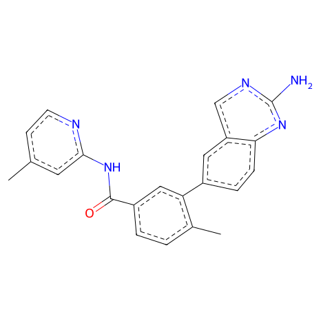 Cc1ccnc(NC(=O)c2ccc(C)c(-c3ccc4nc(N)ncc4c3)c2)c1